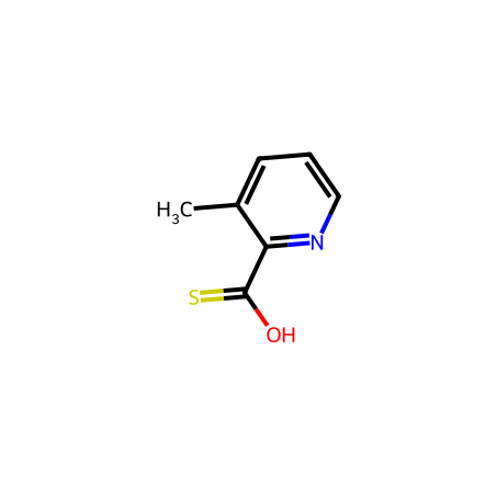 Cc1cccnc1C(O)=S